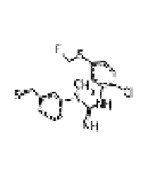 CN(C(=N)Nc1cc(SCF)ccc1Cl)c1cccc(C=S)c1